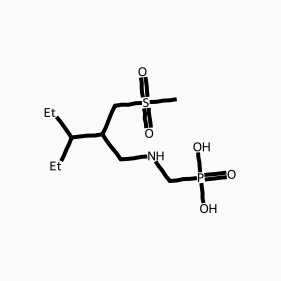 CCC(CC)C(CNCP(=O)(O)O)CS(C)(=O)=O